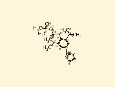 CC(C)c1cc(-n2cccn2)cc(C(C)C)c1CC(=O)OC(C)(C)C